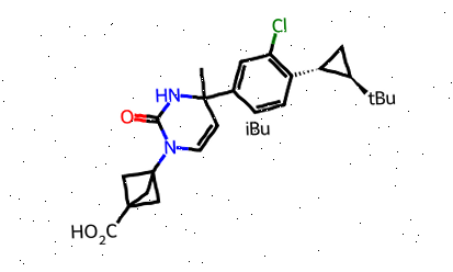 CC[C@H](C)C1=CN(C23CC(C(=O)O)(C2)C3)C(=O)NC1(C)c1ccc([C@@H]2C[C@H]2C(C)(C)C)c(Cl)c1